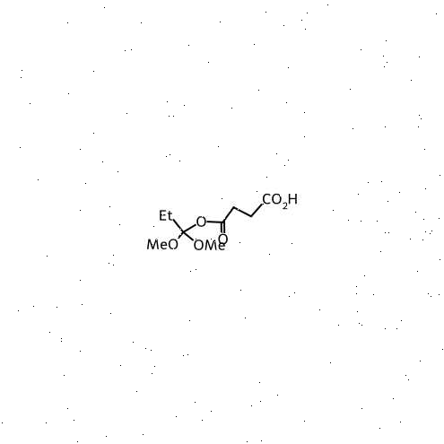 CCC(OC)(OC)OC(=O)CCC(=O)O